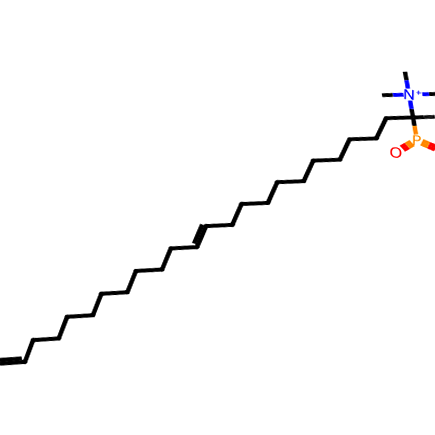 C=CCCCCCCCCCC=CCCCCCCCCCCC(CC)(P(=O)=O)[N+](C)(C)C